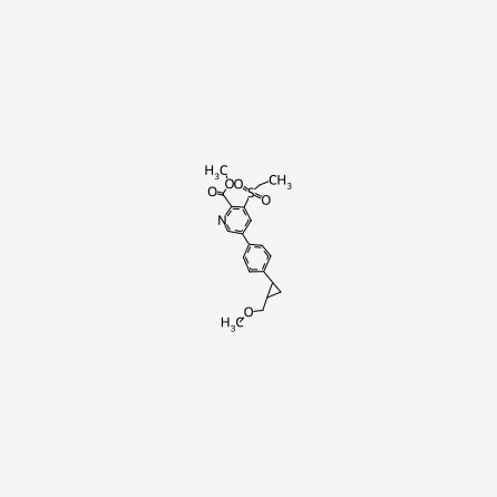 CCS(=O)(=O)c1cc(-c2ccc(C3CC3COC)cc2)cnc1C(=O)OC